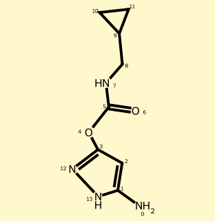 Nc1cc(OC(=O)NCC2CC2)n[nH]1